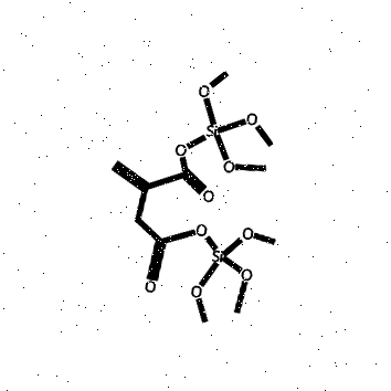 C=C(CC(=O)O[Si](OC)(OC)OC)C(=O)O[Si](OC)(OC)OC